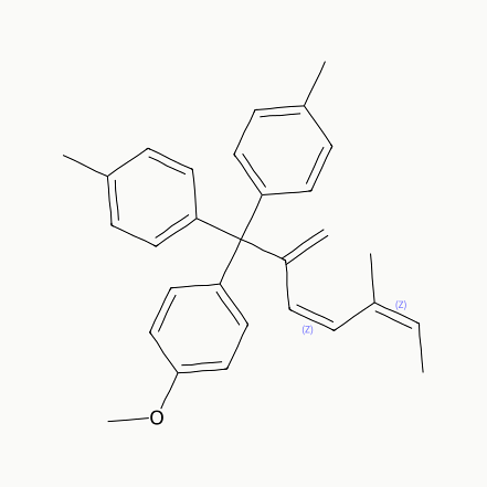 C=C(/C=C\C(C)=C/C)C(c1ccc(C)cc1)(c1ccc(C)cc1)c1ccc(OC)cc1